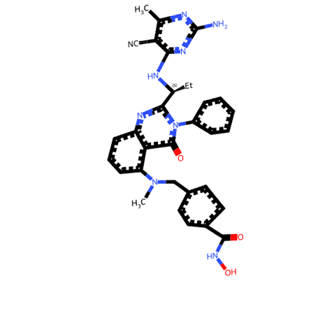 CC[C@H](Nc1nc(N)nc(C)c1C#N)c1nc2cccc(N(C)Cc3ccc(C(=O)NO)cc3)c2c(=O)n1-c1ccccc1